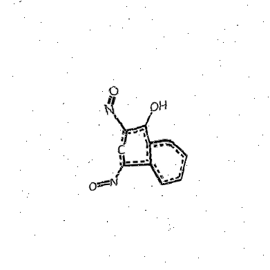 O=Nc1cc(N=O)c2ccccc2c1O